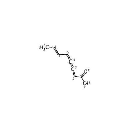 C/C=C/C=C=C=CC(=O)O